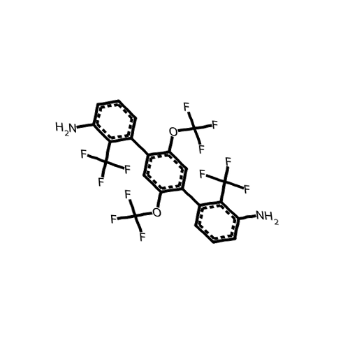 Nc1cccc(-c2cc(OC(F)(F)F)c(-c3cccc(N)c3C(F)(F)F)cc2OC(F)(F)F)c1C(F)(F)F